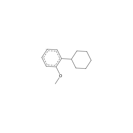 COc1cc[c]cc1C1CCCCC1